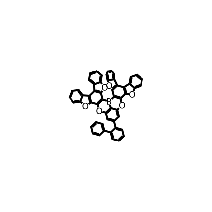 c1ccc(-c2ccccc2-c2cc3c4c(c2)Oc2c(c5oc6ccccc6c5c5c2oc2ccccc25)B4c2c(c4oc5ccccc5c4c4c2oc2ccccc24)O3)cc1